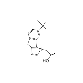 C[C@@H](O)Cn1ccc2c1-c1cc(C(C)(C)C)ccc1C2